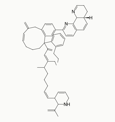 C=C1/C=C\CCCC(C(=C)/C=C(\CC)C(C)CCC/C=C\C2C=CCNC2C(=C)C)(c2ccccc2CCC)c2cc(-c3ccc4c(n3)C3N=CCC[C@@H]3C=C4)ccc2C1